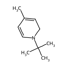 CC1=CCN(C(C)(C)C)C=C1